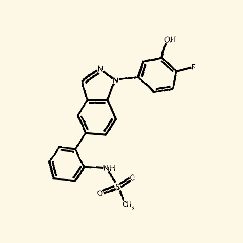 CS(=O)(=O)Nc1ccccc1-c1ccc2c(cnn2-c2ccc(F)c(O)c2)c1